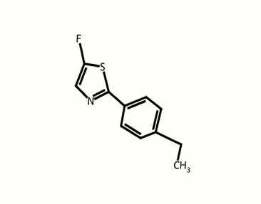 CCc1ccc(-c2ncc(F)s2)cc1